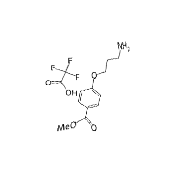 COC(=O)c1ccc(OCCCN)cc1.O=C(O)C(F)(F)F